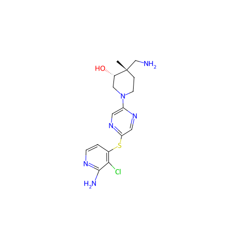 C[C@@]1(CN)CCN(c2cnc(Sc3ccnc(N)c3Cl)cn2)C[C@@H]1O